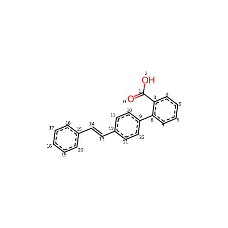 O=C(O)c1ccccc1-c1ccc(C=Cc2ccccc2)cc1